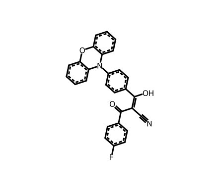 N#CC(C(=O)c1ccc(F)cc1)=C(O)c1ccc(N2c3ccccc3Oc3ccccc32)cc1